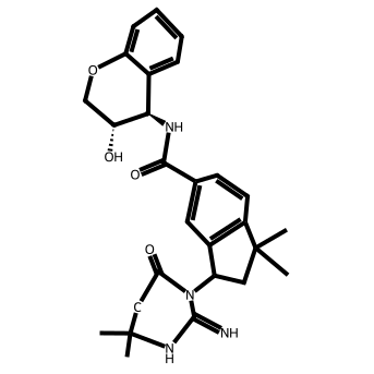 CC1(C)CC(=O)N(C2CC(C)(C)c3ccc(C(=O)N[C@@H]4c5ccccc5OC[C@H]4O)cc32)C(=N)N1